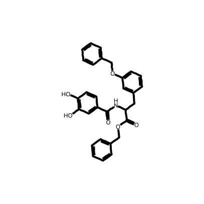 O=C(NC(Cc1cccc(OCc2ccccc2)c1)C(=O)OCc1ccccc1)c1ccc(O)c(O)c1